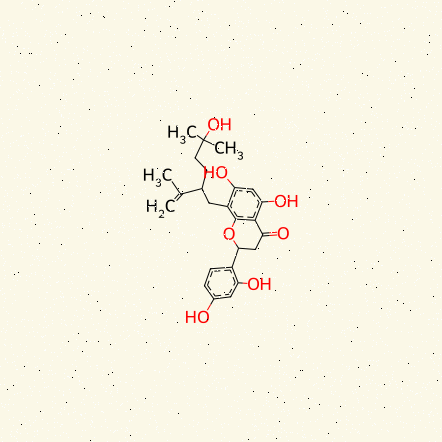 C=C(C)C(CCC(C)(C)O)Cc1c(O)cc(O)c2c1OC(c1ccc(O)cc1O)CC2=O